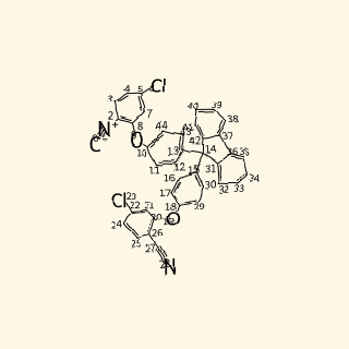 [C-]#[N+]c1ccc(Cl)cc1Oc1ccc(C2(c3ccc(Oc4cc(Cl)ccc4C#N)cc3)c3ccccc3-c3ccccc32)cc1